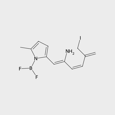 C=C(/C=C\C(N)=C\c1ccc(C)n1B(F)F)CI